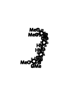 COc1ccc(S(=O)(=O)Oc2cccc(NC(=O)Nc3cccc(OS(=O)(=O)c4ccc(OC)c(OC)c4)c3)c2)cc1OC